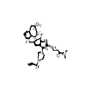 C=CC(=O)N1CCN(c2nc(NCCC(=O)N(C)C)nc3c(F)c([C@@H]4c5ccccc5C[C@H](O)[C@@H]4C)c(Cl)cc23)CC1